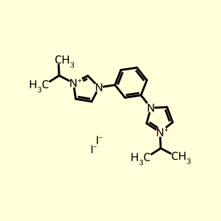 CC(C)[n+]1ccn(-c2cccc(-n3cc[n+](C(C)C)c3)c2)c1.[I-].[I-]